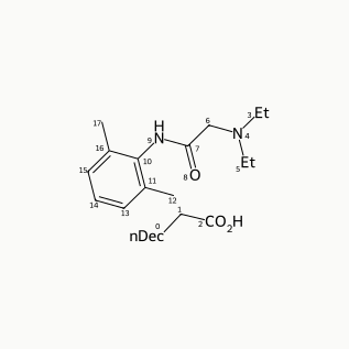 CCCCCCCCCCCC(=O)O.CCN(CC)CC(=O)Nc1c(C)cccc1C